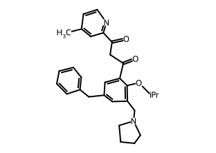 Cc1ccnc(C(=O)CC(=O)c2cc(Cc3ccccc3)cc(CN3CCCC3)c2OC(C)C)c1